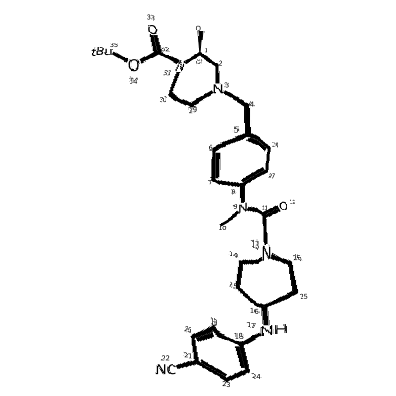 C[C@H]1CN(Cc2ccc(N(C)C(=O)N3CCC(Nc4ccc(C#N)cc4)CC3)cc2)CCN1C(=O)OC(C)(C)C